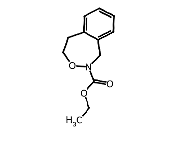 CCOC(=O)N1Cc2ccccc2CCO1